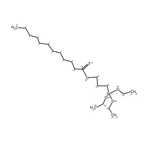 CCCCCCCCCCCC(=S)OCCC[Si](OCC)(OCC)OCC